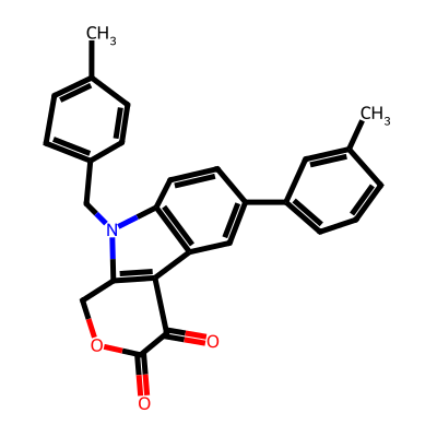 Cc1ccc(Cn2c3c(c4cc(-c5cccc(C)c5)ccc42)C(=O)C(=O)OC3)cc1